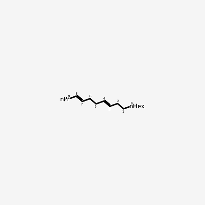 [CH2]CCCCCCCC=CCCC=CCCC